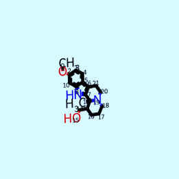 COc1ccc2c3c([nH]c2c1)C1(C)C(CO)CCCN1CC3